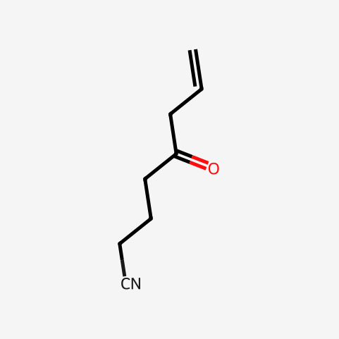 C=CCC(=O)CCCC#N